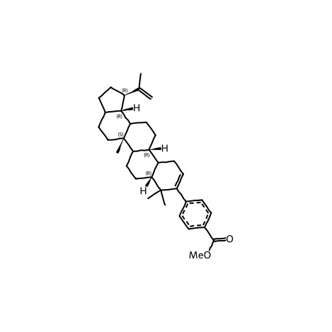 C=C(C)[C@@H]1CCC2CC[C@@]3(C)C4CC[C@@H]5C(CC=C(c6ccc(C(=O)OC)cc6)C5(C)C)[C@H]4CCC3[C@H]21